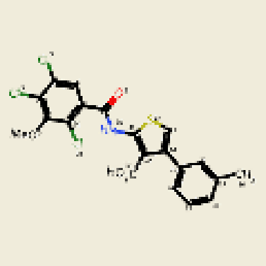 COc1c(Cl)c(Cl)cc(C(=O)Nc2scc(-c3cccc(C)c3)c2C(=O)O)c1Cl